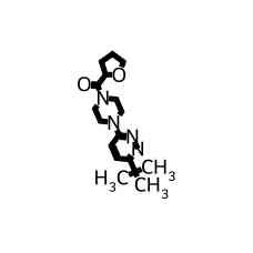 CC(C)(C)c1ccc(N2CCN(C(=O)C3CCCO3)CC2)nn1